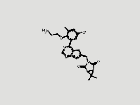 Cc1cc(Cl)cc(-c2ncnn3cc(CN4C(=O)C5C(C4=O)C5(C)C)cc23)c1OCCN